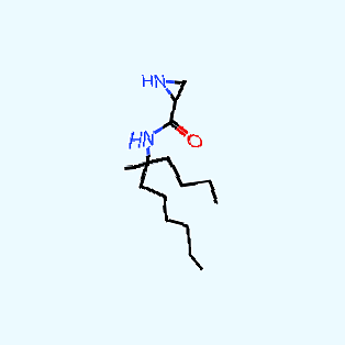 CCCCCCC(C)(CCCC)NC(=O)C1CN1